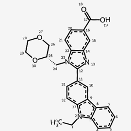 CCn1c2ccccc2c2cc(-c3nc4cc(C(=O)O)ccc4n3C[C@H]3COCCO3)ccc21